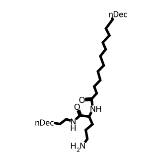 CCCCCCCCCCCCCCCCCCCCCC(=O)NC(CCCN)C(=O)NCCCCCCCCCCCC